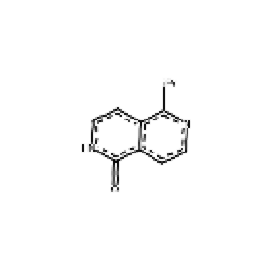 CC(C)c1nccc2c(=O)[nH]ccc12